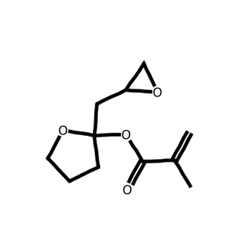 C=C(C)C(=O)OC1(CC2CO2)CCCO1